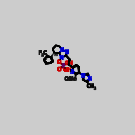 COc1nc(C=CC2=NN3CCC[C@@H](c4ccccc4C(F)(F)F)C3N2OP(=O)(O)O)ccc1-n1cnc(C)c1